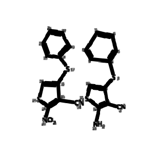 N#Cc1c(Sc2ccccc2)csc1N.N#Cc1c(Sc2ccccc2)csc1[N+](=O)[O-]